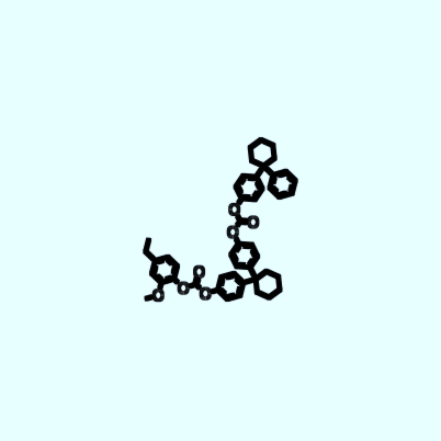 CCc1ccc(OC(=O)Oc2ccc(C3(c4ccc(OC(=O)Oc5ccc(C6(c7ccccc7)CCCCC6)cc5)cc4)CCCCC3)cc2)c(OC)c1